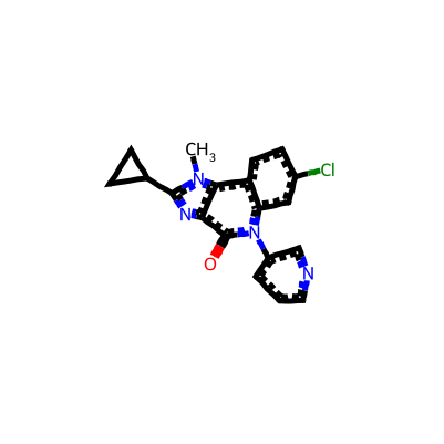 Cn1c(C2CC2)nc2c(=O)n(-c3cccnc3)c3cc(Cl)ccc3c21